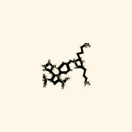 CCCCc1nc(CCCC)n(Cc2ccc(-n3c([N+](=O)[O-])cc([N+](=O)[O-])c3-c3nnn[nH]3)cc2)n1